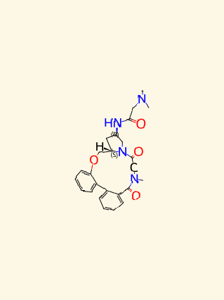 CN(C)CC(=O)N[C@@H]1C[C@H]2COc3ccccc3-c3ccccc3C(=O)N(C)CC(=O)N2C1